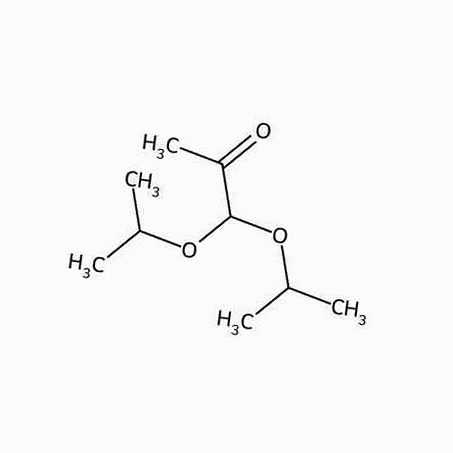 CC(=O)C(OC(C)C)OC(C)C